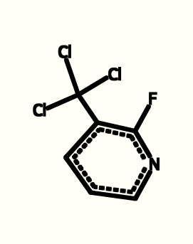 Fc1ncccc1C(Cl)(Cl)Cl